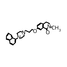 CN1CCc2ccc(OCCCN3CCN(c4cccc5ccccc45)CC3)cc2C1=O